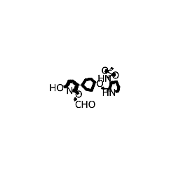 CS(=O)(=O)N[C@H]1CCCN[C@H]1CO[C@H]1CC[C@@H](c2ccc(O)nc2OCC=O)CC1